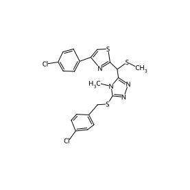 CSC(c1nc(-c2ccc(Cl)cc2)cs1)c1nnc(SCc2ccc(Cl)cc2)n1C